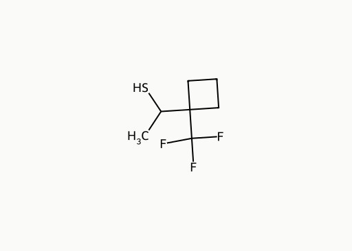 CC(S)C1(C(F)(F)F)CCC1